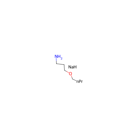 CCCCOCCCN.[NaH]